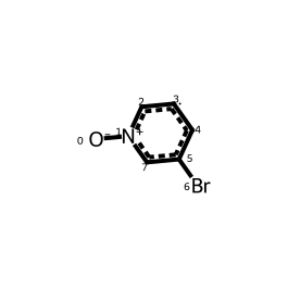 [O-][n+]1c[c]cc(Br)c1